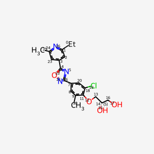 CCc1cc(-c2nc(-c3cc(C)c(OC[C@@H](O)CO)c(Cl)c3)no2)cc(C)n1